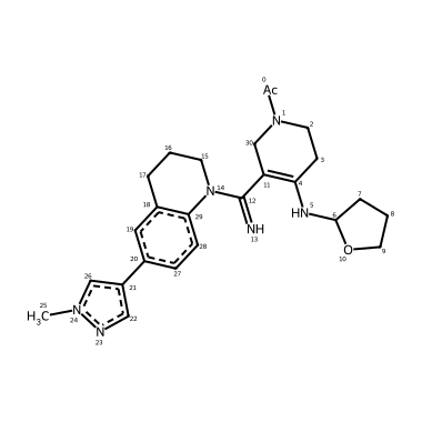 CC(=O)N1CCC(NC2CCCO2)=C(C(=N)N2CCCc3cc(-c4cnn(C)c4)ccc32)C1